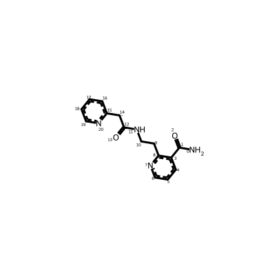 NC(=O)c1cccnc1CCNC(=O)[CH]c1ccccn1